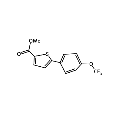 COC(=O)c1ccc(-c2ccc(OC(F)(F)F)cc2)s1